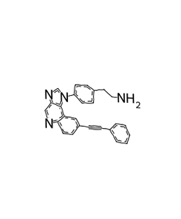 NCCc1ccc(-n2cnc3cnc4ccc(C#Cc5ccccc5)cc4c32)cc1